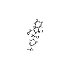 COc1ccc(S(=O)(=O)c2[nH]c3ccccc3c2C=O)cc1